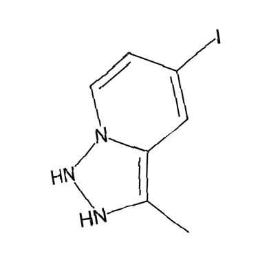 CC1=C2C=C(I)C=CN2NN1